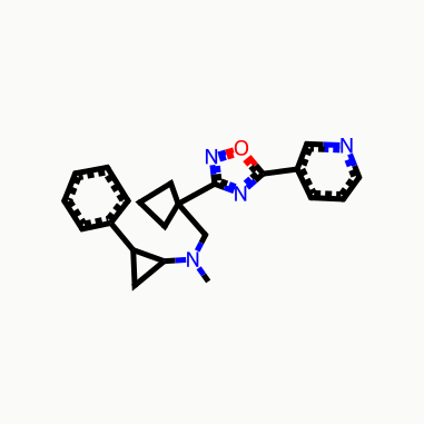 CN(CC1(c2noc(-c3cccnc3)n2)CCC1)C1CC1c1ccccc1